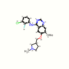 COc1cc2ncnc(Nc3cccc(Cl)c3F)c2cc1OCC1CCN(C)C1